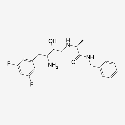 C[C@H](NC[C@@H](O)C(N)Cc1cc(F)cc(F)c1)C(=O)NCc1ccccc1